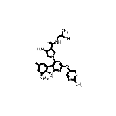 CNc1cc(F)cc2c1[nH]c1nc(Oc3cnc(C)nc3)nc(N3CC(N)C(C(=O)NCC(C)O)C3)c12